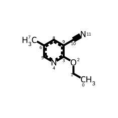 CCOc1ncc(C)cc1C#N